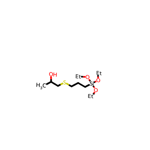 CCO[Si](CCCSCC(C)O)(OCC)OCC